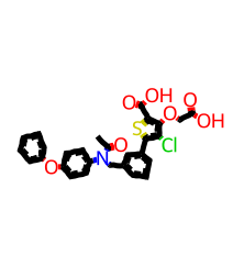 CC(=O)N(Cc1cccc(-c2sc(C(=O)O)c(OCC(=O)O)c2Cl)c1)c1ccc(Oc2ccccc2)cc1